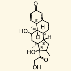 CC1C[C@H]2[C@@H]3CCC4=CC(=O)C=C[C@]4(C)[C@@]3(Cl)C(O)C[C@]2(C)[C@@]1(O)C(=O)CO